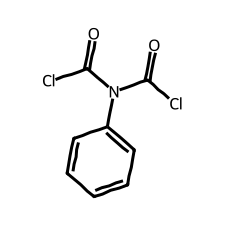 O=C(Cl)N(C(=O)Cl)c1ccccc1